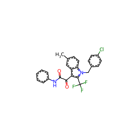 Cc1ccc2c(c1)c(C(=O)C(=O)Nc1ccccc1)c(C(F)(F)F)n2Cc1ccc(Cl)cc1